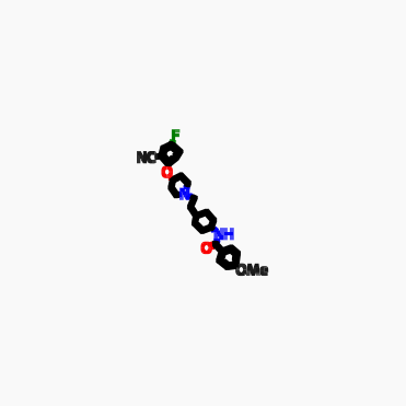 COc1ccc(C(=O)NC2CCC(CCN3CCC(Oc4ccc(F)cc4C#N)CC3)CC2)cc1